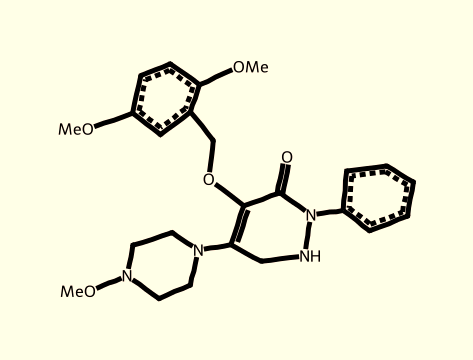 COc1ccc(OC)c(COC2=C(N3CCN(OC)CC3)CNN(c3ccccc3)C2=O)c1